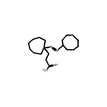 N=C(N)CCC1(N=NC2CCCCCCC2)CCCCCCC1